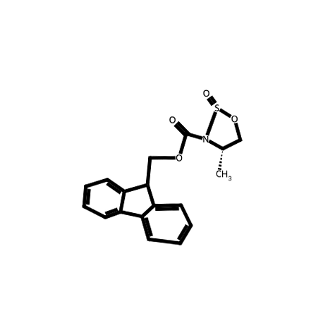 C[C@H]1COS(=O)N1C(=O)OCC1c2ccccc2-c2ccccc21